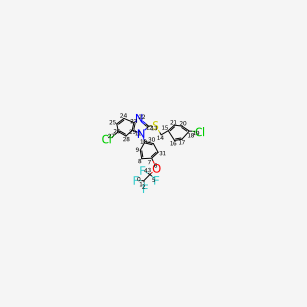 FC(F)C(F)(F)Oc1ccc(-n2c(SCc3ccc(Cl)cc3)nc3ccc(Cl)cc32)cc1